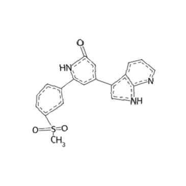 CS(=O)(=O)c1cccc(-c2cc(-c3c[nH]c4ncccc34)cc(=O)[nH]2)c1